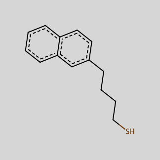 SCCCCc1ccc2ccccc2c1